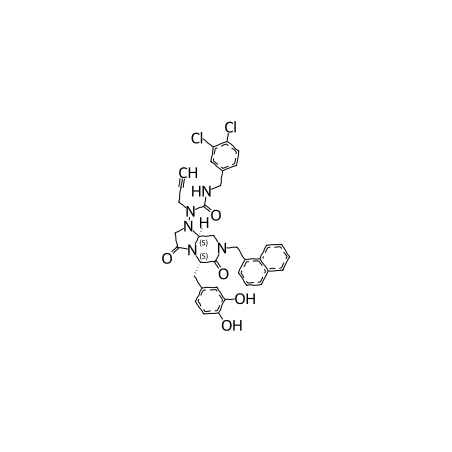 C#CCN(C(=O)NCc1ccc(Cl)c(Cl)c1)N1CC(=O)N2[C@@H](Cc3ccc(O)c(O)c3)C(=O)N(Cc3cccc4ccccc34)C[C@@H]21